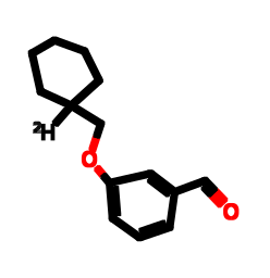 [2H]C1(COc2cccc(C=O)c2)CCCCC1